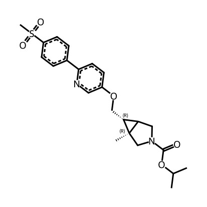 CC(C)OC(=O)N1CC2[C@@H](COc3ccc(-c4ccc(S(C)(=O)=O)cc4)nc3)[C@]2(C)C1